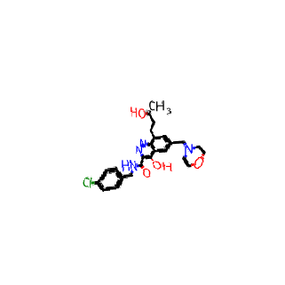 C[C@H](O)CCc1cc(CN2CCOCC2)cc2c(O)c(C(=O)NCc3ccc(Cl)cc3)nnc12